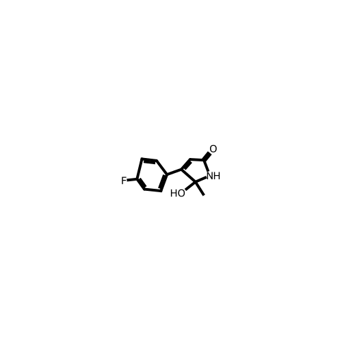 CC1(O)NC(=O)C=C1c1ccc(F)cc1